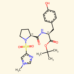 Cn1cnc(S(=O)(=O)N2CCC[C@H]2C(=O)N[C@@H](Cc2ccc(O)cc2)C(=O)OC(C)(C)C)c1